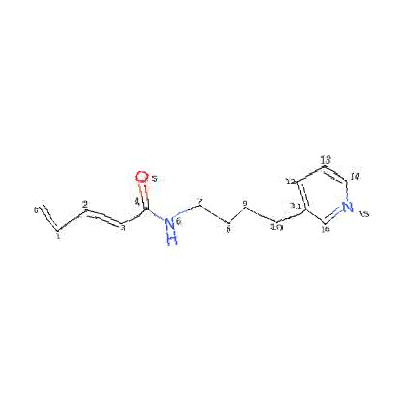 C=CC=CC(=O)NCCCCc1cccnc1